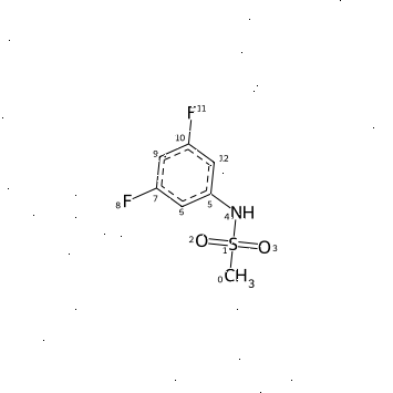 CS(=O)(=O)Nc1cc(F)[c]c(F)c1